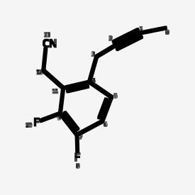 CC#CCc1ccc(F)c(F)c1[CH]C#N